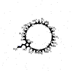 C/C=C/CC1C(O)C2C(=O)C1(N)C(CC)C(=O)N(C)C(=O)N(C)C(CCCC)C(=O)NC(CCC)C(=O)N(C)C(CCCC)C(=O)NC(C)C(=O)NC(C)C(=O)N(C)C(CCCC)C(=O)N(C)C(CCCC)C(=O)N(C)C(CCC)C(=O)N2C